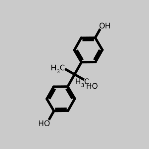 CC(C)(c1ccc(O)cc1)c1ccc(O)cc1.[OH]